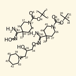 CC(C)(C)OC(=O)N1CCC(C)(C(N)=NO)CC1.CC(C)(C)OC(=O)N1CCC(C)(C(N)=NOCC(O)CN2CCCCC2)CC1